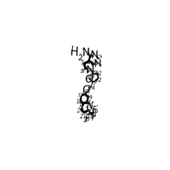 Nc1ncnc2c1ccn2[C@H]1CC[C@@H](COc2ccc3ccc(C(F)(F)F)nc3c2)O1